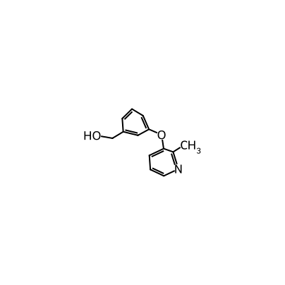 Cc1ncccc1Oc1cccc(CO)c1